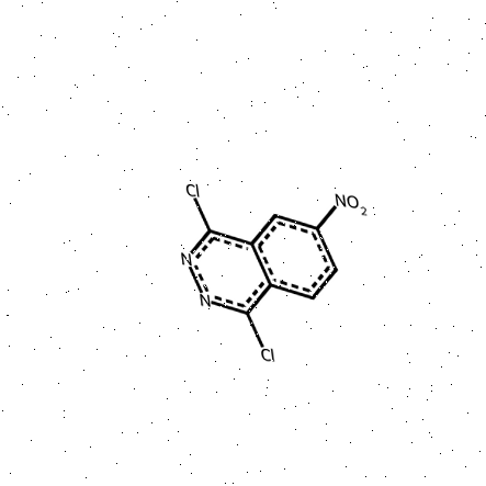 O=[N+]([O-])c1ccc2c(Cl)nnc(Cl)c2c1